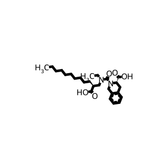 CCCCCCCCCC[C@@H](CN(CC)C(=O)N1Cc2ccccc2C[C@H]1C(=O)O)C(=O)O